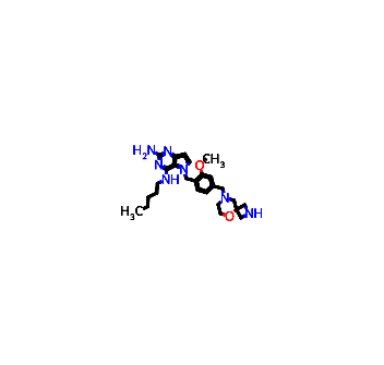 CCCCCNc1nc(N)nc2ccn(Cc3ccc(CN4CCOC5(CNC5)C4)cc3OC)c12